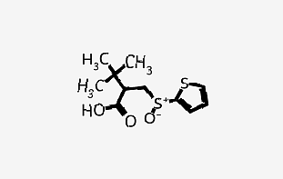 CC(C)(C)C(C[S+]([O-])c1cccs1)C(=O)O